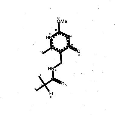 CCC(C)(C)C(=O)NCc1c(C)[nH]c(OC)cc1=O